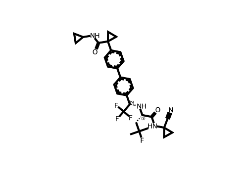 CC(C)(F)C[C@H](N[C@@H](c1ccc(-c2ccc(C3(C(=O)NC4CC4)CC3)cc2)cc1)C(F)(F)F)C(=O)NC1(C#N)CC1